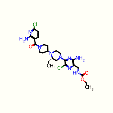 CCOC(=O)NCc1nc(Cl)c(N2CCN(C3CCN(C(=O)c4ccc(Cl)nc4N)CC3)[C@@H](CC)C2)nc1N